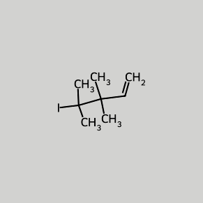 C=CC(C)(C)C(C)(C)I